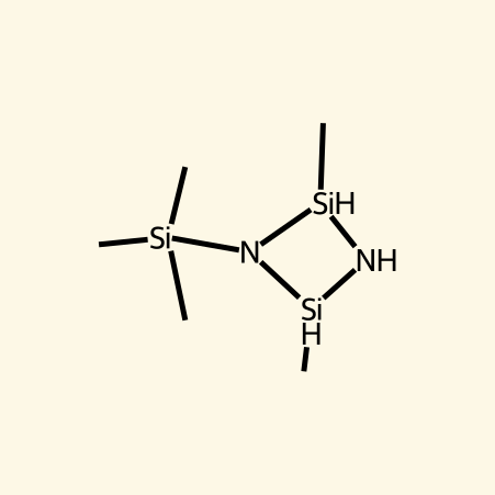 C[SiH]1N[SiH](C)N1[Si](C)(C)C